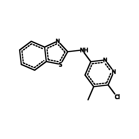 Cc1cc(Nc2nc3ccccc3s2)nnc1Cl